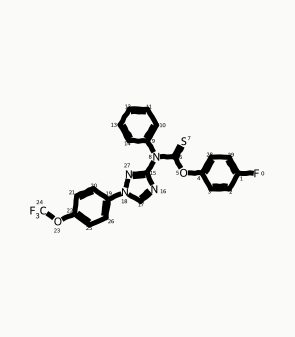 Fc1ccc(OC(=S)N(c2ccccc2)c2ncn(-c3ccc(OC(F)(F)F)cc3)n2)cc1